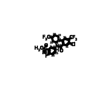 C[S@@](=N)(=O)c1cc(NC(=O)c2cc(Cl)c(C(F)(F)F)cc2N2CCC(C(F)(F)F)CC2)ccc1F